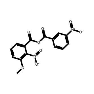 COc1cccc(C(=O)OC(=O)c2cccc([N+](=O)[O-])c2)c1[N+](=O)[O-]